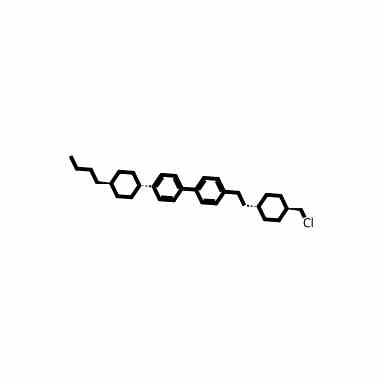 CCCC[C@H]1CC[C@H](c2ccc(-c3ccc(CC[C@H]4CC[C@H](CCl)CC4)cc3)cc2)CC1